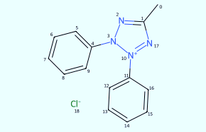 Cc1nn(-c2ccccc2)[n+](-c2ccccc2)n1.[Cl-]